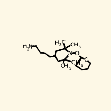 CC1(C)CC(CCCCN)CC(C)(C)N1OC1CCCCC1